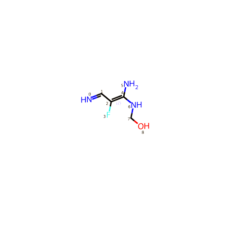 N=C/C(F)=C(\N)NCO